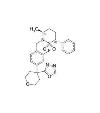 C[C@H]1CC[C@H](c2ccccc2)S(=O)(=O)N1Cc1ccc(C2(c3nnco3)CCOCC2)cc1F